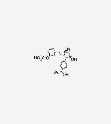 CCCC(O)c1ccc(C2C(CCc3cccc(OC(=O)O)c3)[C@H](C#N)C[C@H]2O)cc1